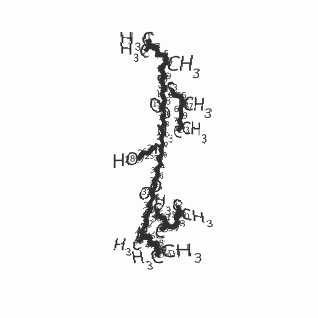 CC(C)=CCCC(C)CCSC(CCC(=O)OCCCCCCN(CCCCO)CCCCCCOC(=O)CCC(SCCC(C)CCC=C(C)C)SCCC(C)CCC=C(C)C)SCCC(C)CCC=C(C)C